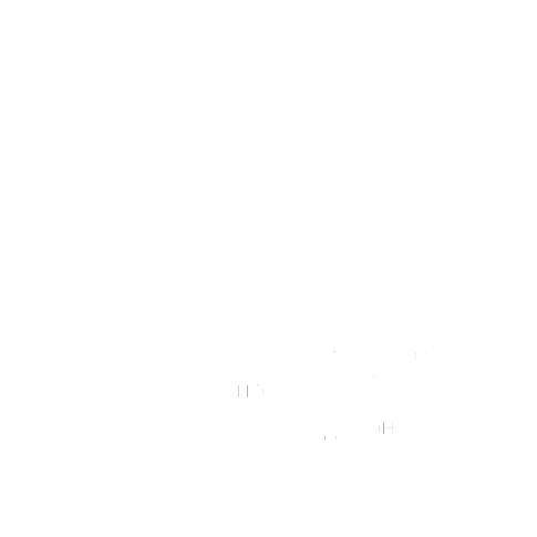 O=C(O)C1(C(=O)O)CC(CCCC2CCCCC2)C1